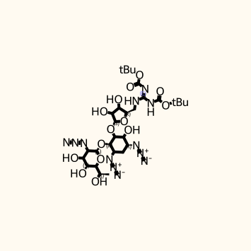 C[C@@H](O)C1O[C@H](O[C@@H]2C(N=[N+]=[N-])C[C@@H](N=[N+]=[N-])C(O)C2O[C@@H]2O[C@H](CN/C(=N\C(=O)OC(C)(C)C)NC(=O)OC(C)(C)C)C(O)C2O)C(N=[N+]=[N-])C(O)[C@@H]1O